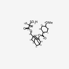 COC1CCC(C(=O)OC23CC4CC(CC(COC(=O)C(F)(F)S(=O)(=O)O)(C4)C2)C3)CC1